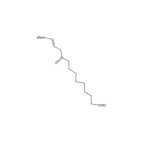 C=C(C/C=C/CCCCC)CCCCCCCC[C]=O